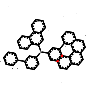 c1ccc(-c2cccc(N(c3cccc(-c4cccc5ccc6ccc7ccccc7c6c45)c3)c3cc4ccccc4c4ccccc34)c2)cc1